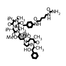 CC[C@H](C)[C@@H]([C@@H](CC(=O)N1CCC[C@H]1[C@H](OC)[C@@H](C)C(=O)N[C@H](C)[C@@H](O)c1ccccc1)OC)N(C)C(=O)[C@@H](NC(=O)C(C(C)C)N(C)C(=O)OCc1ccc(NC(=O)CCCCNC(N)=O)cc1)C(C)C